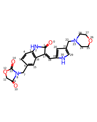 O=C1Nc2ccc(CN3C(=O)COC3=O)cc2C1=Cc1cc(CN2CCOCC2)c[nH]1